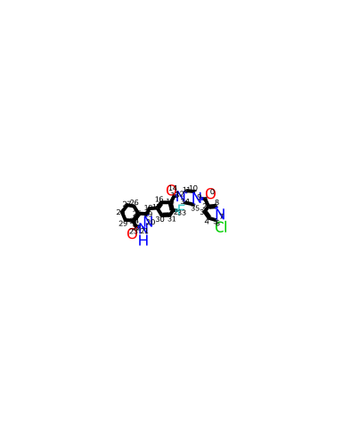 O=C(c1ccc(Cl)nc1)N1CCN(C(=O)c2cc(Cc3n[nH]c(=O)c4c3CCCC4)ccc2F)CC1